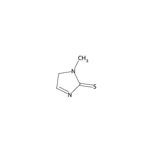 CN1CC=NC1=S